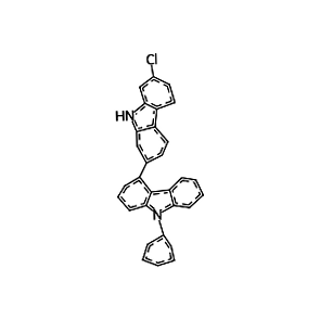 Clc1ccc2c(c1)[nH]c1cc(-c3cccc4c3c3ccccc3n4-c3ccccc3)ccc12